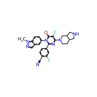 Cn1ncc2cc(-n3c(-c4ccc(C#N)c(F)c4)nc(N4CCC5CNCC5C4)c(F)c3=O)ccc21